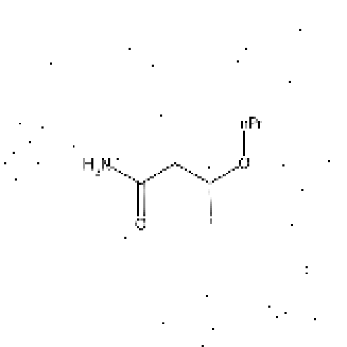 CCCOC(C)CC(N)=O